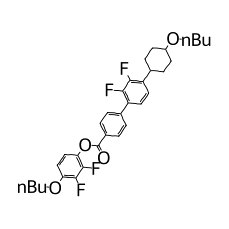 CCCCOc1ccc(OC(=O)c2ccc(-c3ccc(C4CCC(OCCCC)CC4)c(F)c3F)cc2)c(F)c1F